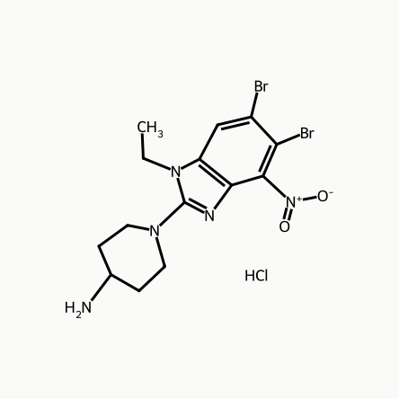 CCn1c(N2CCC(N)CC2)nc2c([N+](=O)[O-])c(Br)c(Br)cc21.Cl